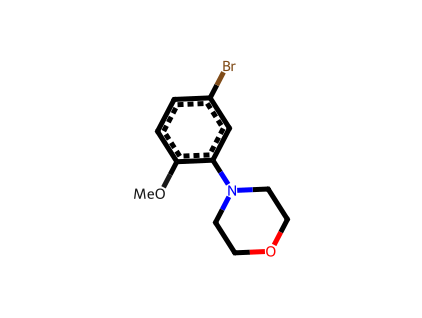 COc1ccc(Br)cc1N1CCOCC1